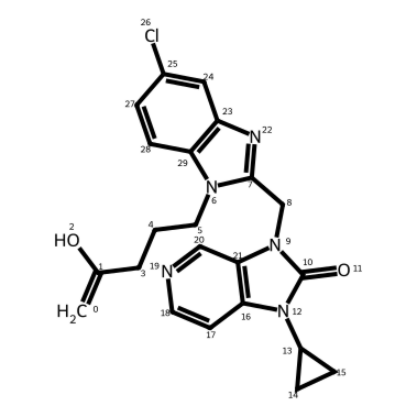 C=C(O)CCCn1c(Cn2c(=O)n(C3CC3)c3ccncc32)nc2cc(Cl)ccc21